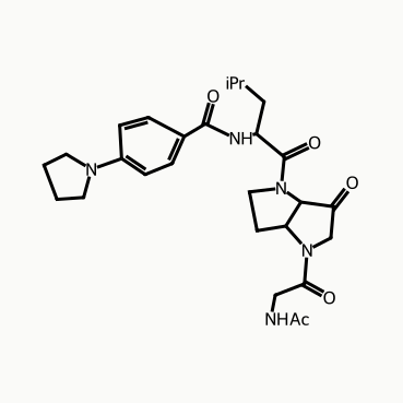 CC(=O)NCC(=O)N1CC(=O)C2C1CCN2C(=O)C(CC(C)C)NC(=O)c1ccc(N2CCCC2)cc1